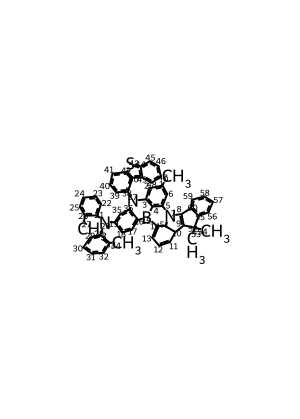 Cc1cc2c3c(c1)N1C4=C(C5C=CC=C(B3c3ccc(N(c6ccccc6C)c6ccccc6C)cc3N2c2cccc3sc6ccccc6c23)C51)C(C)(C)c1ccccc14